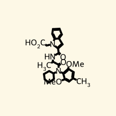 COc1cc(C)cc(OC)c1N(C(=O)C(C)NC(=O)c1cc2ccccc2n1CC(=O)O)C1CCCCC1